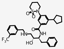 O=C(N[C@@H](Cc1ccccc1)[C@H](O)CNCc1cccc(C(F)(F)F)c1)c1cc(C2CCCC2)cc(N2CCCCS2(=O)=O)c1